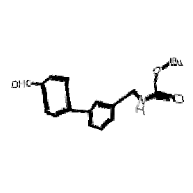 CC(C)(C)OC(=O)NCc1cccc(-c2ccc(C=O)cc2)c1